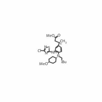 CCC(C)CN(c1ccc([C@H](C)CC(=O)OC)cc1Nc1nc(Cl)ns1)[C@H]1CC[C@H](OC)CC1